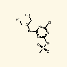 CC(C)C[C@H](CO)Nc1nc(Cl)nc(NS(C)(=O)=O)n1